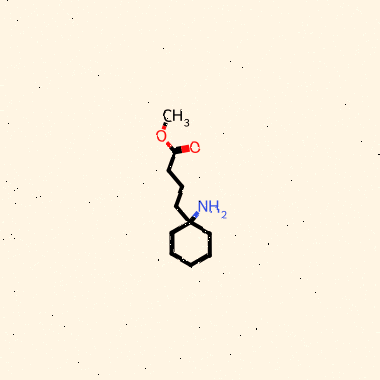 COC(=O)CCCC1(N)CCCCC1